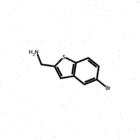 NCc1cc2cc(Br)ccc2s1